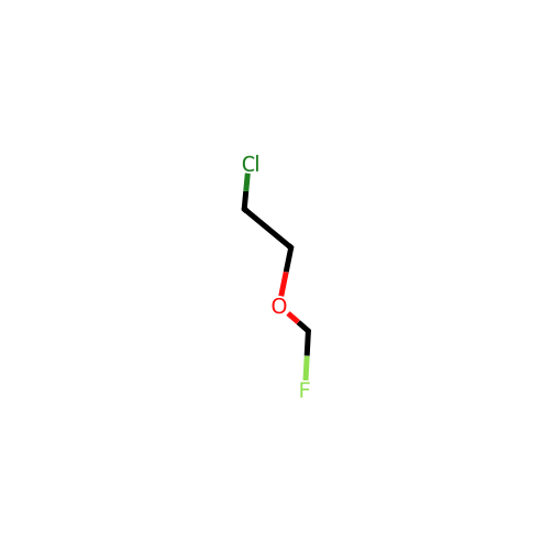 FCOCCCl